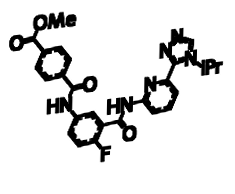 COC(=O)c1ccc(C(=O)Nc2ccc(F)c(C(=O)Nc3cccc(-c4nncn4C(C)C)n3)c2)cc1